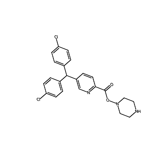 O=C(ON1CCNCC1)c1ccc(C(c2ccc(Cl)cc2)c2ccc(Cl)cc2)cn1